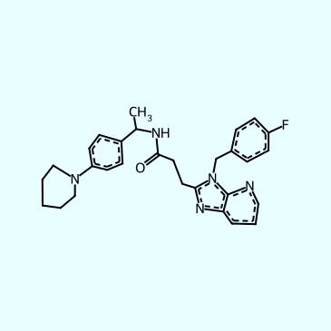 CC(NC(=O)CCc1nc2cccnc2n1Cc1ccc(F)cc1)c1ccc(N2CCCCC2)cc1